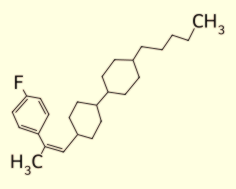 CCCCCC1CCC(C2CCC(C=C(C)c3ccc(F)cc3)CC2)CC1